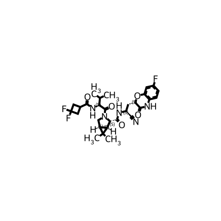 CC(C)[C@H](NC(=O)C1CC(F)(F)C1)C(=O)N1C[C@H]2[C@@H]([C@H]1C(=O)N[C@H](C#N)C[C@@H]1Oc3cc(F)ccc3NC1=O)C2(C)C